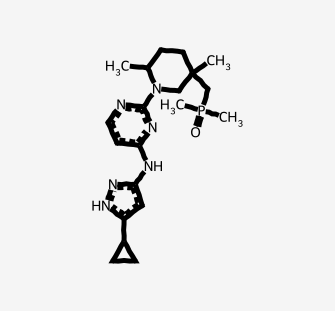 CC1CCC(C)(CP(C)(C)=O)CN1c1nccc(Nc2cc(C3CC3)[nH]n2)n1